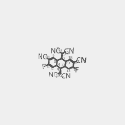 N#CC1=CC2C(C=C1F)C(C(C#N)C#N)C1C=C(F)C(C#N)=CC1C2C(C#N)C#N